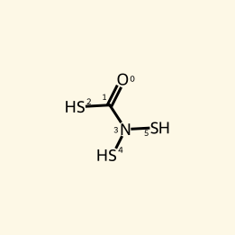 O=C(S)N(S)S